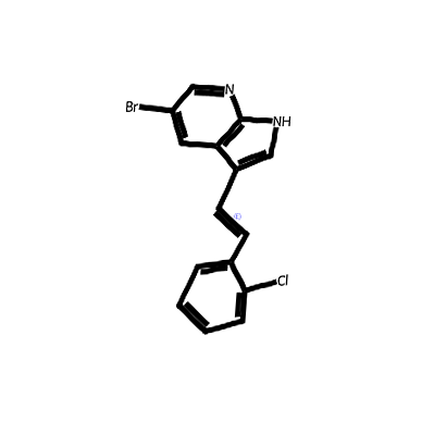 Clc1ccccc1/C=C/c1c[nH]c2ncc(Br)cc12